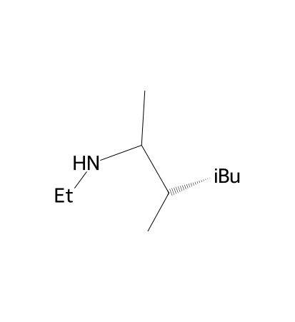 CCNC(C)C(C)[C@@H](C)CC